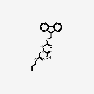 C=CCOC(=O)C[C@H](NC(=O)OCC1c2ccccc2-c2ccccc21)C(=O)O